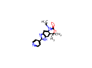 CCN1C(=O)OC(C)(C)c2cc3[nH]c(-c4ccncc4)nc3cc21